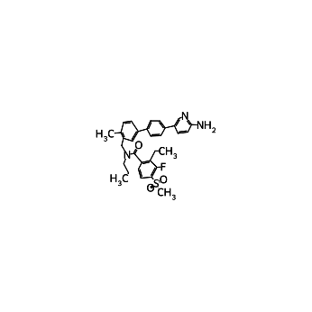 CCCN(Cc1cc(-c2ccc(-c3ccc(N)nc3)cc2)ccc1C)C(=O)c1ccc(S(C)(=O)=O)c(F)c1CC